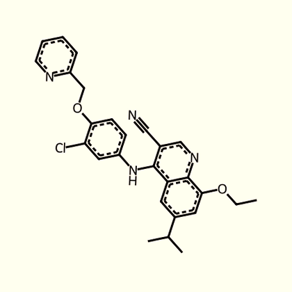 CCOc1cc(C(C)C)cc2c(Nc3ccc(OCc4ccccn4)c(Cl)c3)c(C#N)cnc12